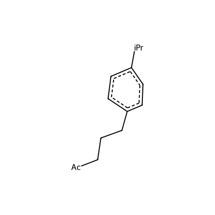 CC(=O)CCCc1ccc(C(C)C)cc1